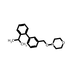 CC(C)c1ccccc1-c1cccc(CON2CCOCC2)c1